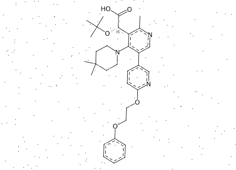 Cc1ncc(-c2ccc(OCCOc3ccccc3)nc2)c(N2CCC(C)(C)CC2)c1[C@H](OC(C)(C)C)C(=O)O